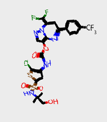 CC(C)(CO)NS(=O)(=O)c1cc(NC(=O)Oc2cnn3c(C(F)F)cc(-c4ccc(C(F)(F)F)cc4)nc23)c(Cl)s1